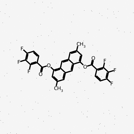 Cc1cc(OC(=O)c2ccc(F)c(F)c2F)c2cc3cc(C)cc(OC(=O)c4ccc(F)c(F)c4F)c3cc2c1